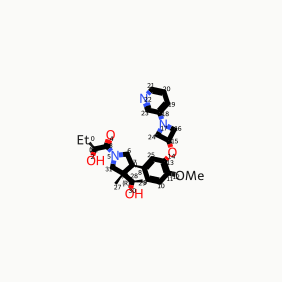 CC[C@H](O)C(=O)N1C[C@@H](c2ccc(OC)c(OC3CN(c4cccnc4)C3)c2)[C@](C)([C@@H](C)O)C1